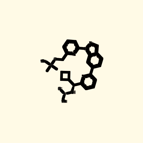 CC(C)(C)[S+]([O-])N[C@H](c1cccc(-c2ccc3cnn(-c4cccc(CO[Si](C)(C)C(C)(C)C)n4)c3c2)n1)C1CCC1